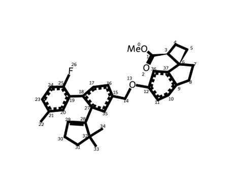 COC(=O)[C@H]1CC[C@]12CCc1ccc(OCc3ccc(-c4cc(C)ccc4F)c(C4=CCCC4(C)C)c3)cc12